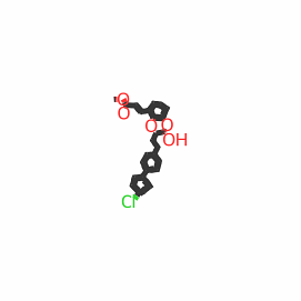 COC(=O)/C=C/c1ccccc1OC(CCc1ccc(-c2ccc(Cl)cc2)cc1)C(=O)O